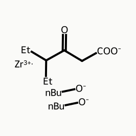 CCC(CC)C(=O)CC(=O)[O-].CCCC[O-].CCCC[O-].[Zr+3]